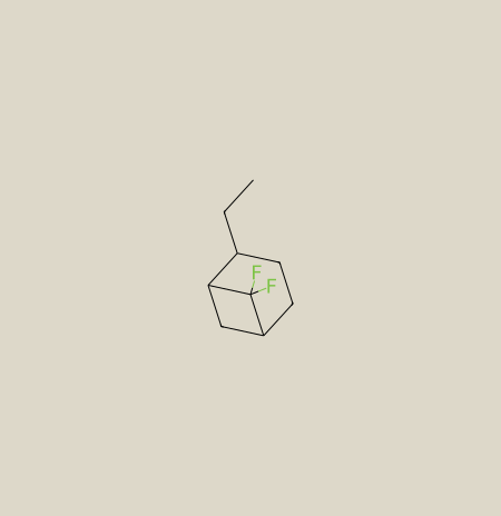 CCC1CCC2CC1C2(F)F